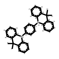 CC1(C)c2ccccc2N(c2ccc(N3c4ccccc4C(C)(C)c4ccccc43)cc2)c2ccccc21